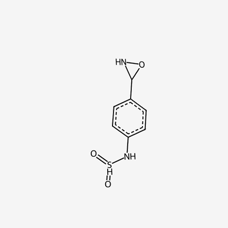 O=[SH](=O)Nc1ccc(C2NO2)cc1